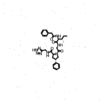 CC[C@H](C)[C@H](NC(=O)Cc1ccccc1)C(=O)NCC(=O)N1C[C@H](c2ccccc2)CC1C(=O)NCc1nn[nH]n1